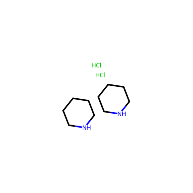 C1CCNCC1.C1CCNCC1.Cl.Cl